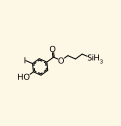 O=C(OCCC[SiH3])c1ccc(O)c(I)c1